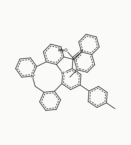 COC(=O)c1cc(-c2ccc(C)cc2)cc2[n+]1-c1c(-c3c4ccccc4cc[n+]3C)cccc1-c1cccc[n+]1Cc1ccccc1-2